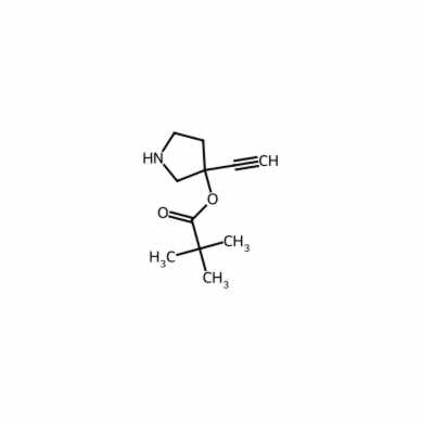 C#CC1(OC(=O)C(C)(C)C)CCNC1